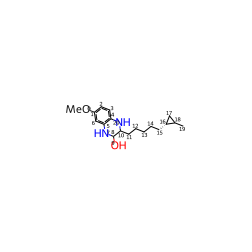 COc1ccc2c(c1)NC(O)C(CCCCC[C@@H]1CC1C)N2